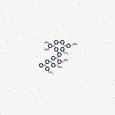 CCCCOc1cc(OCCCC)cc(N(c2cccc(-c3ccc(N(c4cc(CCCC)cc(CCCC)c4)c4cccc(-c5cccc(N(c6ccc(SCCCC)cc6)c6cccc(C)c6)c5)c4)cc3)c2)c2cccc(N(c3ccccc3)c3cccc(N(c4ccccc4)c4ccc(C)cc4)c3)c2)c1